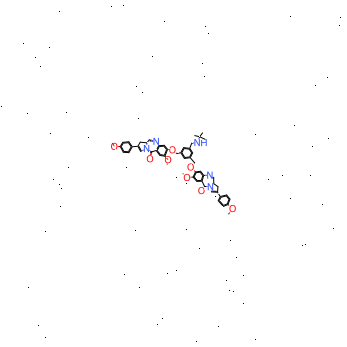 COc1ccc(C2=CN3C(=O)c4cc(OC)c(OCc5cc(CNC(C)(C)C)cc(COc6cc7c(cc6OC)C(=O)N6C=C(c8ccc(OC)cc8)CC6C=N7)c5)cc4N=CC3C2)cc1